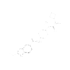 CCc1nc2ccc(C(=O)NC3CCC([C@H](N)C(=O)N(C)C4CCC4)CC3)cc2o1